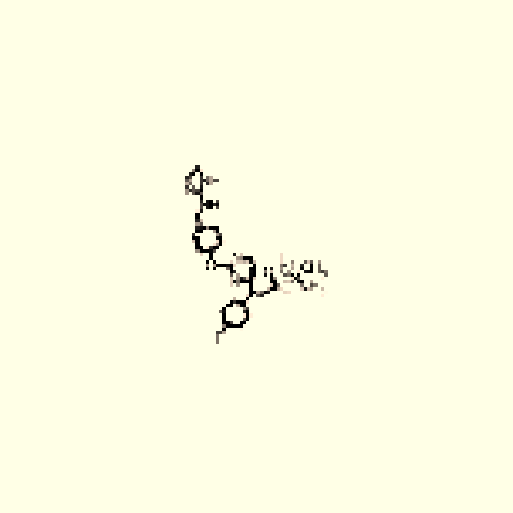 CC(C)(C)OC(=O)CC(c1ccc(F)cc1)c1ccnc(Oc2ccc(CNC3=NCCN3)cc2)n1